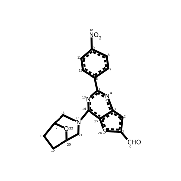 O=Cc1cc2nc(-c3ccc([N+](=O)[O-])cc3)nc(N3CC4CCC(C3)O4)c2s1